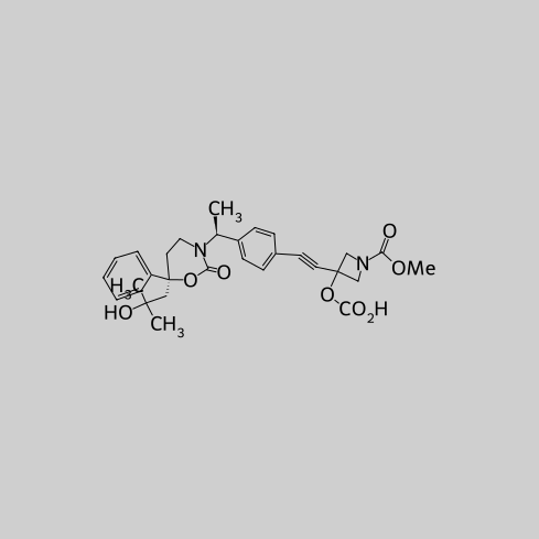 COC(=O)N1CC(C#Cc2ccc([C@H](C)N3CC[C@](CC(C)(C)O)(c4ccccc4)OC3=O)cc2)(OC(=O)O)C1